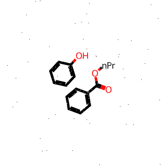 CCCOC(=O)c1ccccc1.Oc1ccccc1